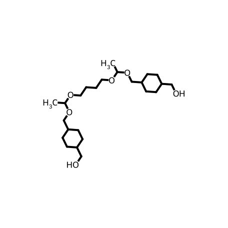 CC(OCCCCOC(C)OCC1CCC(CO)CC1)OCC1CCC(CO)CC1